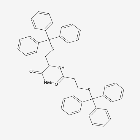 CNC(=O)C(CSC(c1ccccc1)(c1ccccc1)c1ccccc1)NC(=O)CCSC(c1ccccc1)(c1ccccc1)c1ccccc1